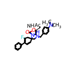 CC(=O)NC[C@H]1CN(C2(CNCc3ccc(N(C)C)cc3)C=CC(c3ccccc3)=C(F)C2)C(=O)O1